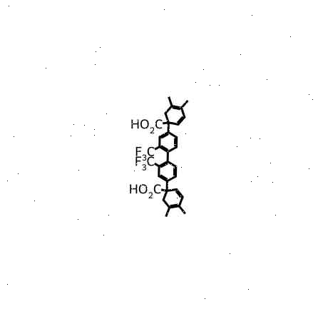 CC1=C(C)CC(C(=O)O)(c2ccc(-c3ccc(C4(C(=O)O)C=CC(C)=C(C)C4)cc3C(F)(F)F)c(C(F)(F)F)c2)C=C1